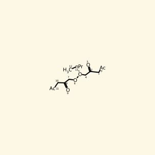 CC(=O)CC(=O)COOCC(=O)CC(C)=O.CCCC